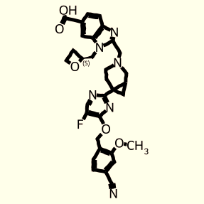 COc1cc(C#N)ccc1COc1nc(C23CCN(Cc4nc5ccc(C(=O)O)cc5n4C[C@@H]4CCO4)CC2C3)ncc1F